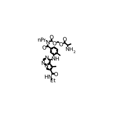 CCCN(C(=O)OCOC(=O)C(C)N)C(=O)c1ccc(C)c(Nc2ncnn3cc(C(=O)NCC)c(C)c23)c1